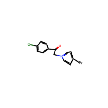 CC(C)c1cc[n+](CC(=O)c2ccc(Cl)cc2)cc1